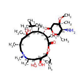 CC[C@H]1OC(=O)[C@H](C)[C@@H](OC2C[C@@](C)(OC)[C@@H](N)[C@H](C)O2)[C@H](C)[C@@H](C(C)(C)C)[C@](C)(O)C[C@@H](C)CN(C)[C@H](C)[C@@H](O)[C@]1(C)O